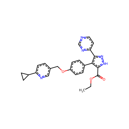 CCOC(=O)c1[nH]nc(-c2ccncn2)c1-c1ccc(OCc2ccc(C3CC3)nc2)cc1